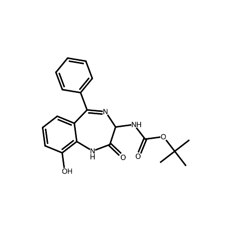 CC(C)(C)OC(=O)NC1N=C(c2ccccc2)c2cccc(O)c2NC1=O